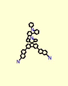 N#Cc1ccc2cc(-c3ccc4c(c3)-c3cc(-c5ccc6cc(C#N)ccc6c5)ccc3C43c4ccccc4-n4c5c3cccc5c3ccc5c(c6ccccc6n5-c5ccccc5)c34)ccc2c1